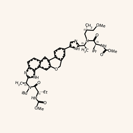 CCC(C)N(C(=O)[C@H](CC)NC(=O)OC)[C@@H](C)c1nc2ccc3cc4c(cc3c2[nH]1)OCc1cc(-c2cnc([C@H](C)N(C[C@H](C)COC)C(=O)[C@@H](NC(=O)OC)C(C)C)[nH]2)ccc1-4